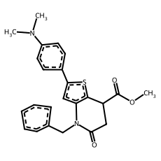 COC(=O)C1CC(=O)N(Cc2ccccc2)c2cc(-c3ccc(N(C)C)cc3)sc21